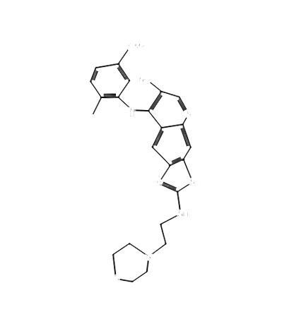 COc1ccc(C)c(Nc2c(C#N)cnc3cc4[nH]c(NCCN5CCOCC5)nc4cc23)c1